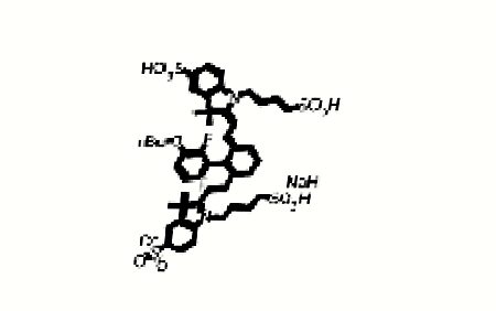 CCCCOc1ccc(F)c(C2=C(C=CC3=[N+](CCCCS(=O)(=O)O)c4ccc(S(=O)(=O)[O-])cc4C3(C)C)CCCC2=CC=C2N(CCCCS(=O)(=O)O)c3ccc(S(=O)(=O)O)cc3C2(C)C)c1F.[NaH]